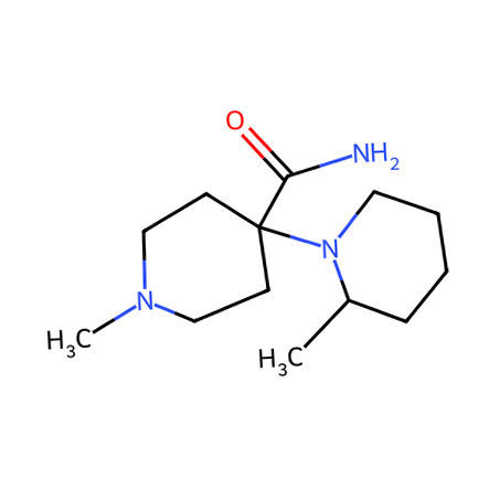 CC1CCCCN1C1(C(N)=O)CCN(C)CC1